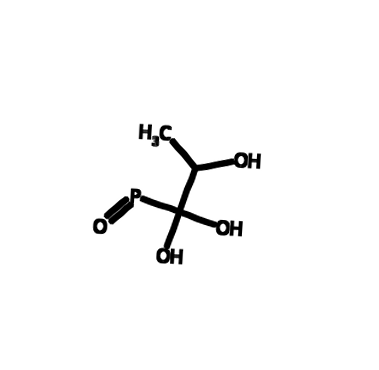 CC(O)C(O)(O)P=O